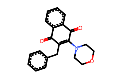 O=C1C(Cc2ccccc2)=C(N2CCOCC2)C(=O)c2ccccc21